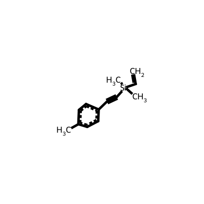 C=C[Si](C)(C)C#Cc1ccc(C)cc1